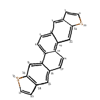 c1cc2cc3ccc4c5cc6sccc6cc5ccc4c3cc2s1